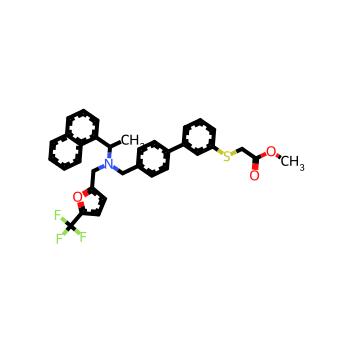 COC(=O)CSc1cccc(-c2ccc(CN(Cc3ccc(C(F)(F)F)o3)C(C)c3cccc4ccccc34)cc2)c1